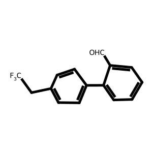 O=Cc1ccccc1-c1ccc(CC(F)(F)F)cc1